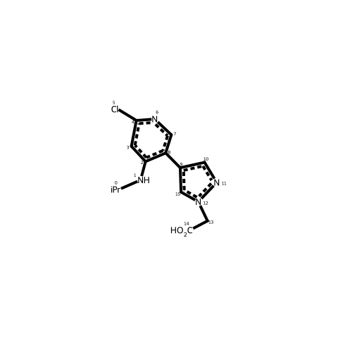 CC(C)Nc1cc(Cl)ncc1-c1cnn(CC(=O)O)c1